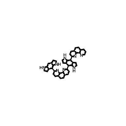 c1cnc2c(c1)ccc1ccc(-c3c4cc[nH]c4c(-c4ccc5ccc6ccc(-c7c8cc[nH]c8cc8cc[nH]c78)nc6c5n4)c4cc[nH]c34)nc12